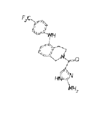 Nc1nc(C(=O)N2CCc3c(cccc3Nc3ccc(C(F)(F)F)cc3)C2)c[nH]1